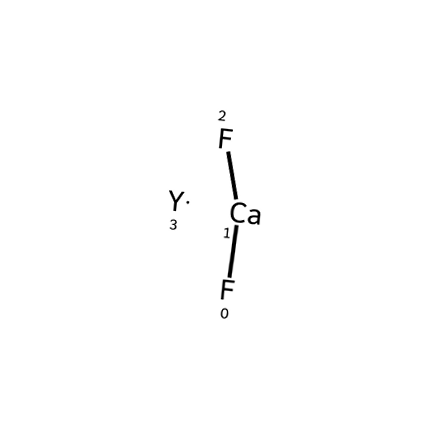 [F][Ca][F].[Y]